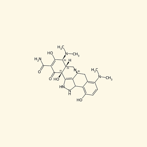 CN(C)c1ccc(O)c2c1C[C@H]1C[C@H]3[C@H](N(C)C)C(O)=C(C(N)=O)C(=O)[C@@]3(O)C3=C1C2NN3